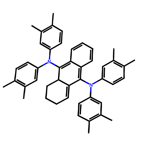 Cc1ccc(N(C2=c3ccccc3=C(N(c3ccc(C)c(C)c3)c3ccc(C)c(C)c3)C3CCCC=C23)c2ccc(C)c(C)c2)cc1C